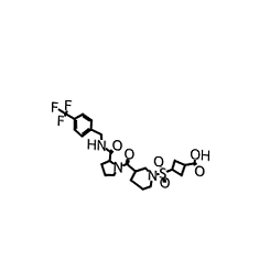 O=C(O)C1CC(S(=O)(=O)N2CCCC(C(=O)N3CCCC3C(=O)NCc3ccc(C(F)(F)F)cc3)C2)C1